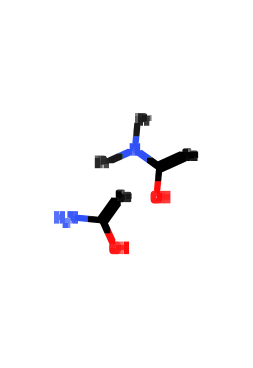 CC(C)N(C(O)=[Se])C(C)C.NC(O)=[Se]